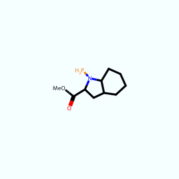 COC(=O)C1CC2CCCCC2N1P